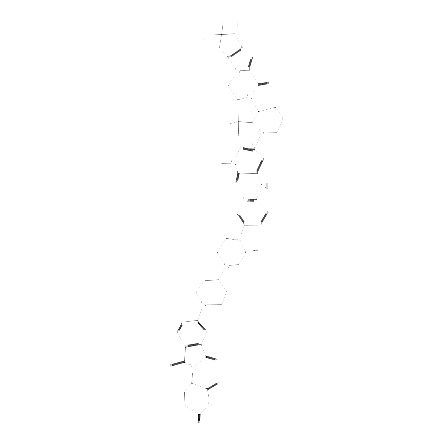 C[C@H]1CN(C2CCN(c3ccc4c(c3)C(=O)N(C3CCC(=O)NC3=O)C4=O)CC2)CCN1c1ccc(Nc2cc(N3CCCC(N4CCn5c(cc6c5CC(C)(C)C6)C4=O)C3C(C)(C)O)cn(C)c2=O)nc1